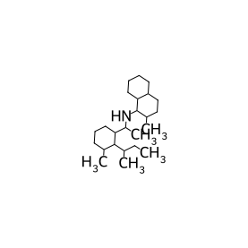 CCC(C)C1C(C)CCCC1C(C)NC1C(C)CCC2CCCCC21